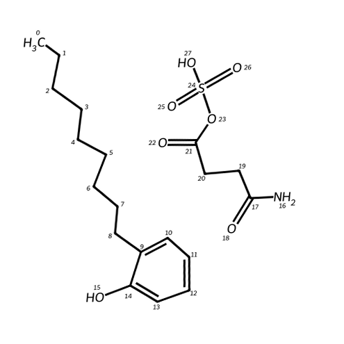 CCCCCCCCCc1ccccc1O.NC(=O)CCC(=O)OS(=O)(=O)O